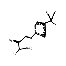 C=C(CCc1ccc(C(F)(F)F)cc1)C(C)C